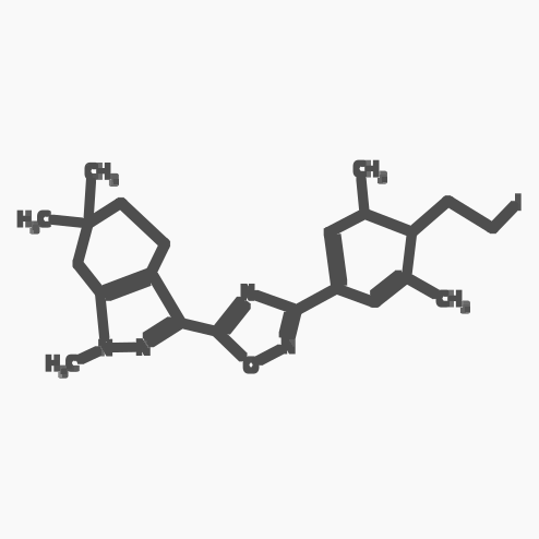 CC1=CC(c2noc(-c3nn(C)c4c3CCC(C)(C)C4)n2)=CC(C)C1CCI